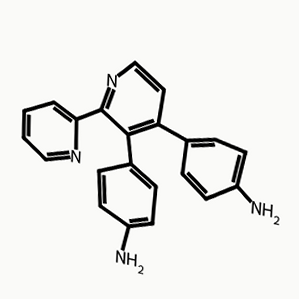 Nc1ccc(-c2ccnc(-c3ccccn3)c2-c2ccc(N)cc2)cc1